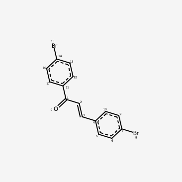 O=C(/C=C/c1ccc(Br)cc1)c1ccc(Br)cc1